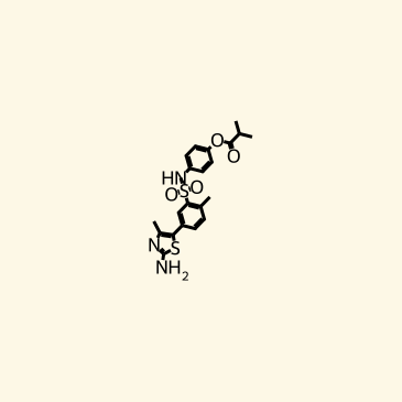 Cc1ccc(-c2sc(N)nc2C)cc1S(=O)(=O)Nc1ccc(OC(=O)C(C)C)cc1